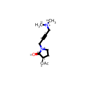 CC(=O)O[C@@H]1CCN(CC#CCN(C)C)C1=O